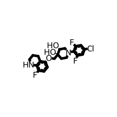 O[C@@H]1CN(c2c(F)cc(Cl)cc2F)CC[C@@]1(O)COc1ccc(F)c2c1CCCN2